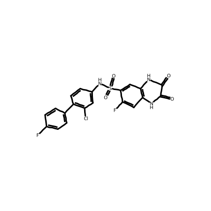 O=c1[nH]c2cc(F)c(S(=O)(=O)Nc3ccc(-c4ccc(F)cc4)c(Cl)c3)cc2[nH]c1=O